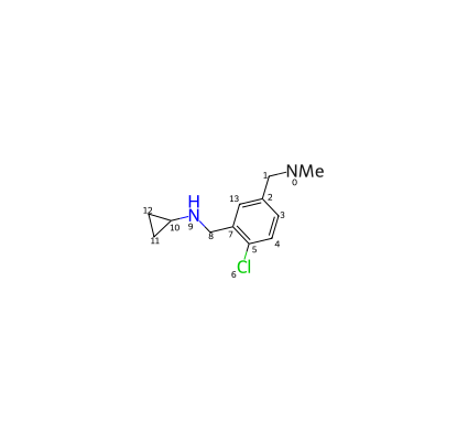 CNCc1ccc(Cl)c(CNC2CC2)c1